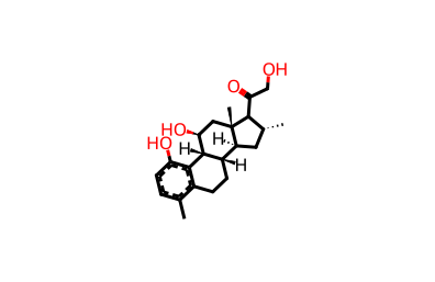 Cc1ccc(O)c2c1CC[C@@H]1[C@H]2[C@@H](O)C[C@]2(C)C(C(=O)CO)[C@H](C)C[C@@H]12